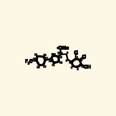 CO[C@@H](CCc1ccc(O)c(Cl)c1Cl)c1ccc(-c2ccc(C(F)(F)F)cc2)s1